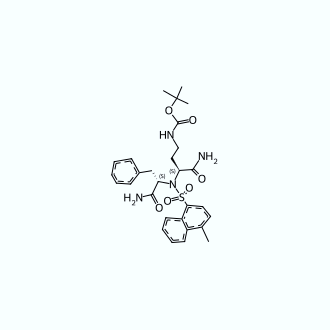 Cc1ccc(S(=O)(=O)N([C@@H](CCNC(=O)OC(C)(C)C)C(N)=O)[C@@H](Cc2ccccc2)C(N)=O)c2ccccc12